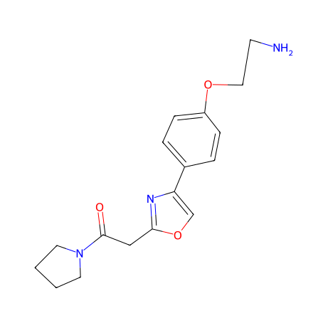 NCCOc1ccc(-c2coc(CC(=O)N3CCCC3)n2)cc1